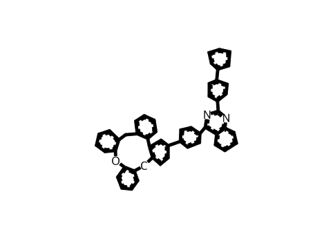 c1ccc(-c2ccc(-c3nc(-c4ccc(-c5ccc6c(c5)-c5ccccc5Cc5ccccc5Oc5ccccc5C6)cc4)c4ccccc4n3)cc2)cc1